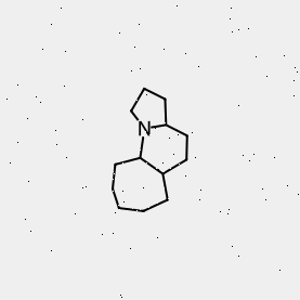 C1CCC2CCC3CCCN3C2CC1